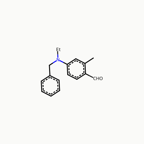 CCN(Cc1ccccc1)c1ccc(C=O)c(C)c1